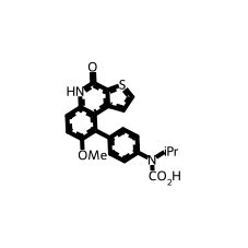 COc1ccc2[nH]c(=O)c3sccc3c2c1-c1ccc(N(C(=O)O)C(C)C)cc1